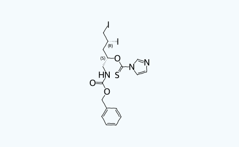 O=C(NC[C@H](C[C@@H](I)CI)OC(=S)n1ccnc1)OCc1ccccc1